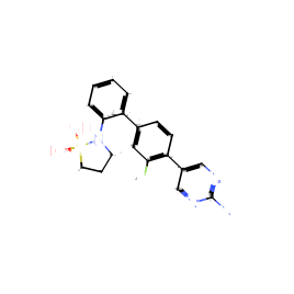 Nc1ncc(-c2ccc(-c3ccccc3N3CCCS3(O)O)cc2F)cn1